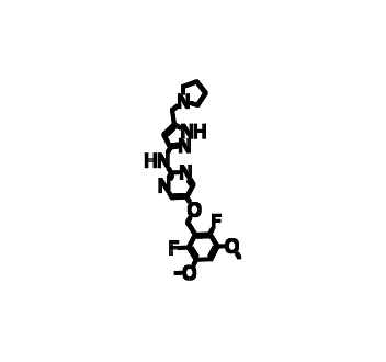 COc1cc(OC)c(F)c(COc2cnc(Nc3cc(CN4CCCC4)[nH]n3)nc2)c1F